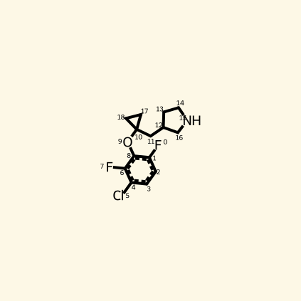 Fc1ccc(Cl)c(F)c1OC1(CC2CCNC2)CC1